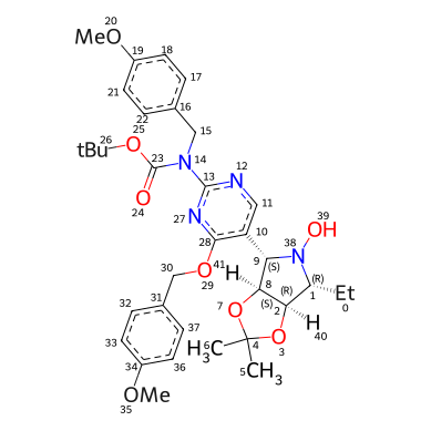 CC[C@@H]1[C@H]2OC(C)(C)O[C@H]2[C@H](c2cnc(N(Cc3ccc(OC)cc3)C(=O)OC(C)(C)C)nc2OCc2ccc(OC)cc2)N1O